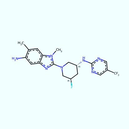 Cc1cc2c(cc1N)nc(N1C[C@H](F)C[C@@H](Nc3ncc(C(F)(F)F)cn3)C1)n2C